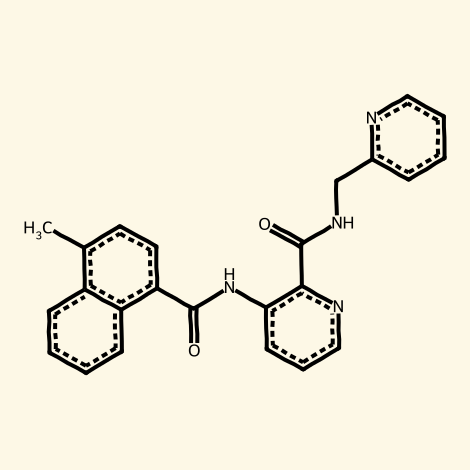 Cc1ccc(C(=O)Nc2cccnc2C(=O)NCc2ccccn2)c2ccccc12